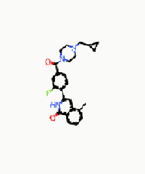 Cc1cccc2c(=O)[nH]c(-c3ccc(C(=O)N4CCN(CC5CC5)CC4)cc3F)cc12